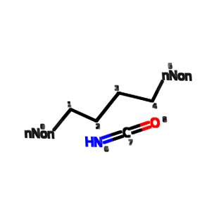 CCCCCCCCCCCCCCCCCCCCCC.N=C=O